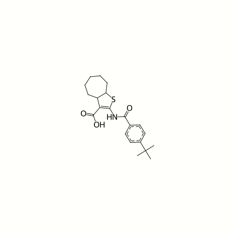 CC(C)(C)c1ccc(C(=O)NC2=C(C(=O)O)C3CCCCCC3S2)cc1